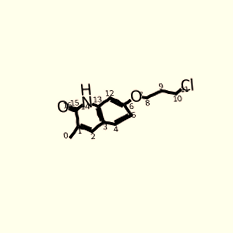 Cc1cc2ccc(OCCCCl)cc2[nH]c1=O